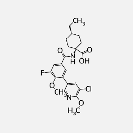 CC[C@H]1CC[C@](NC(=O)c2cc(F)c(OC)c(-c3cnc(OC)c(Cl)c3)c2)(C(=O)O)CC1